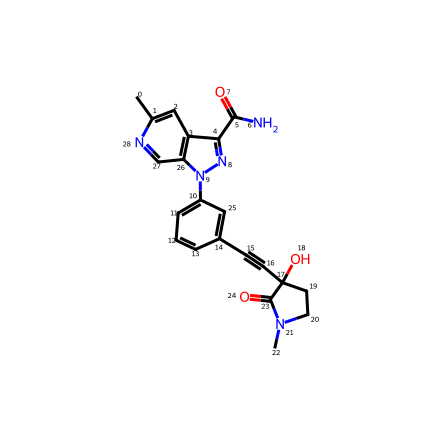 Cc1cc2c(C(N)=O)nn(-c3cccc(C#CC4(O)CCN(C)C4=O)c3)c2cn1